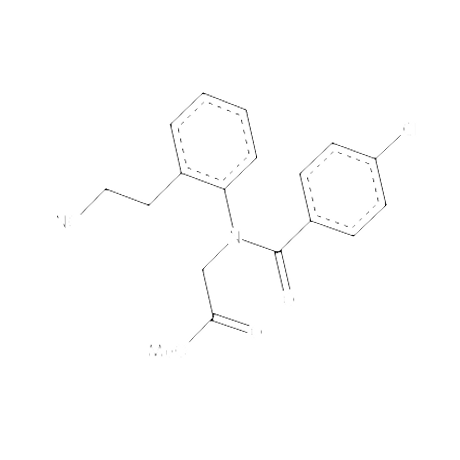 COC(=O)CN(C(=O)c1ccc(Cl)cc1)c1ccccc1CCC#N